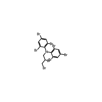 BrCC(Br)CN(c1c(Br)cc(Br)cc1Br)c1c(Br)cc(Br)cc1Br